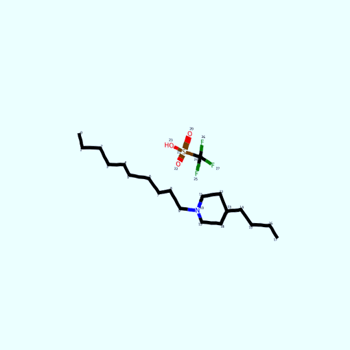 CCCCCCCCCCN1CCC(CCCC)CC1.O=S(=O)(O)C(F)(F)F